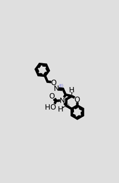 O=C(O)N1C(/C=N/OCc2ccccc2)[C@@H]2C[C@H]1c1ccccc1O2